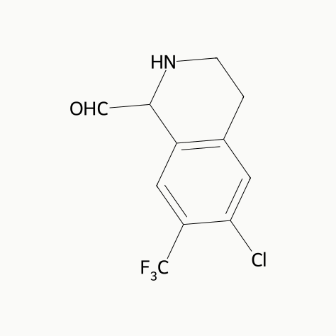 O=CC1NCCc2cc(Cl)c(C(F)(F)F)cc21